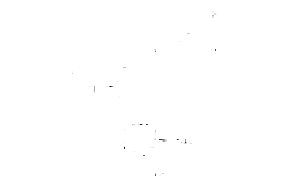 COc1ccc([C@@]23CC[C@@H](OCOC(=O)C(C)C)C[C@@H]2N(C)CC3)cc1OC